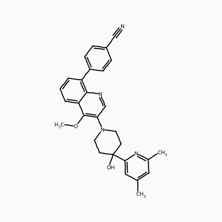 COc1c(N2CCC(O)(c3cc(C)cc(C)n3)CC2)cnc2c(-c3ccc(C#N)cc3)cccc12